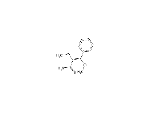 COC(C(N)=O)=C(OC)c1ccccc1